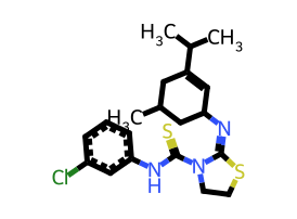 CC1CC(C(C)C)=CC(/N=C2/SCCN2C(=S)Nc2cccc(Cl)c2)C1